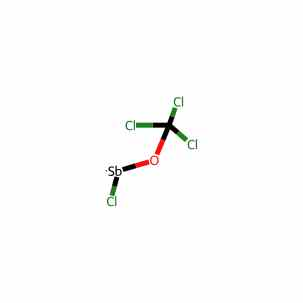 [Cl][Sb][O]C(Cl)(Cl)Cl